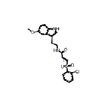 COc1ccc2[nH]cc(CCNC(=O)/C=C/S(=O)(=O)c3ccccc3Cl)c2c1